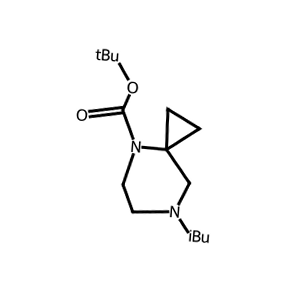 CCC(C)N1CCN(C(=O)OC(C)(C)C)C2(CC2)C1